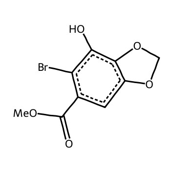 COC(=O)c1cc2c(c(O)c1Br)OCO2